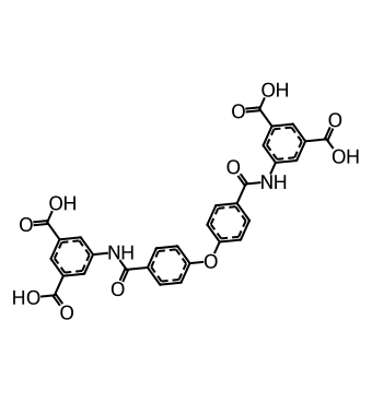 O=C(O)c1cc(NC(=O)c2ccc(Oc3ccc(C(=O)Nc4cc(C(=O)O)cc(C(=O)O)c4)cc3)cc2)cc(C(=O)O)c1